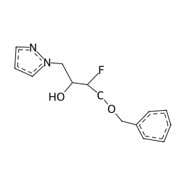 OC(Cn1cccn1)C(F)COCc1ccccc1